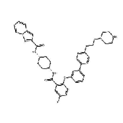 O=C(N[C@H]1CC[C@@H](NC(=O)c2cc(F)cnc2Oc2cccc(-c3ccc(CCCN4CCNCC4)cc3)c2)CC1)c1cc2ccccn2n1